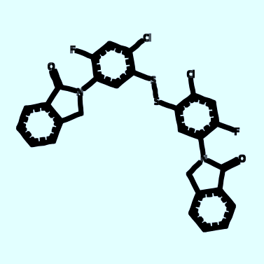 O=C1c2ccccc2CN1c1cc(SSc2cc(N3Cc4ccccc4C3=O)c(F)cc2Cl)c(Cl)cc1F